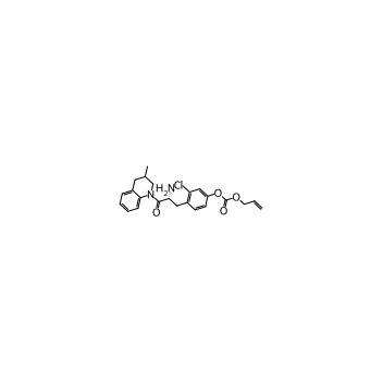 C=CCOC(=O)Oc1ccc(C[C@@H](N)C(=O)N2CC(C)Cc3ccccc32)c(Cl)c1